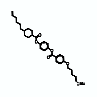 C=CCCCCC1CCC(C(=O)Oc2ccc(OC(=O)c3ccc(OCCCCC[C@@H](C)CC)cc3)cc2)CC1